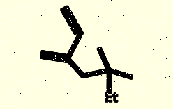 C=CC(=C)CC(C)(C)CC